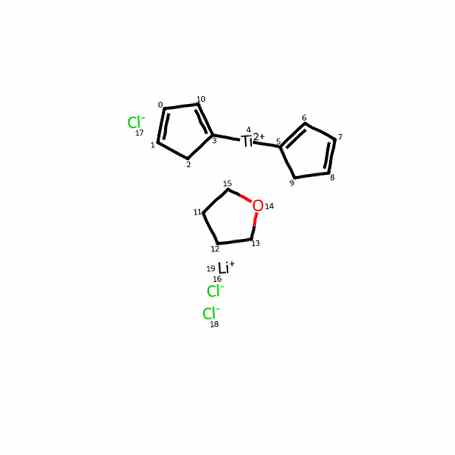 C1=CC[C]([Ti+2][C]2=CC=CC2)=C1.C1CCOC1.[Cl-].[Cl-].[Cl-].[Li+]